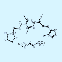 Cc1ccsc1C=CC(=O)c1cc(C)c(OCCN2CCCC2)c(C)c1.O=C(O)C=CC(=O)O